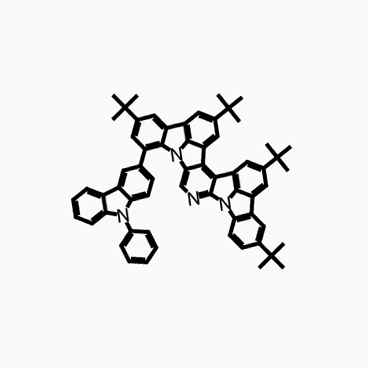 CC(C)(C)c1ccc2c(c1)c1cc(C(C)(C)C)cc3c4c5c6cc(C(C)(C)C)cc7c8cc(C(C)(C)C)cc(-c9ccc%10c(c9)c9ccccc9n%10-c9ccccc9)c8n(c5cnc4n2c13)c76